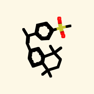 CC(=Cc1ccc2c(c1)C(C)(C)CCC2(C)C)c1ccc(S(C)(=O)=O)cc1